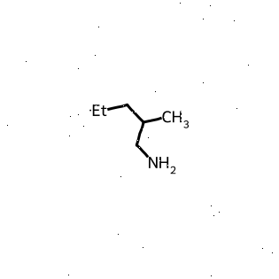 C[CH]CC(C)CN